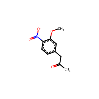 COc1cc(CC(C)=O)ccc1[N+](=O)[O-]